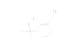 N#Cc1cccc(C(F)(F)F)c1O